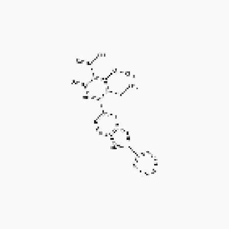 CCc1c(-c2ccc3[nH]c(-c4ccccc4)cc3c2)[nH]c(=O)c(C(=O)O)c1OC